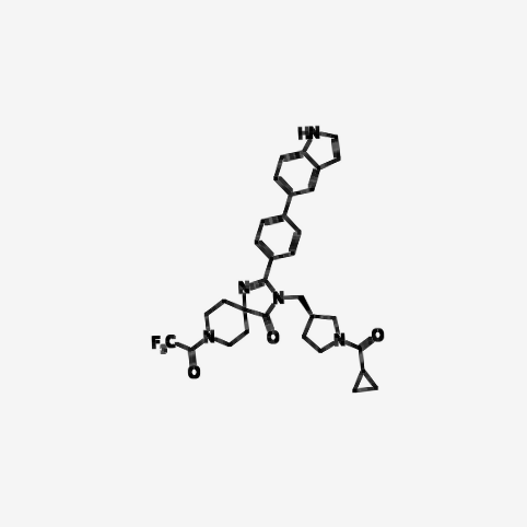 O=C(C1CC1)N1CC[C@@H](CN2C(=O)C3(CCN(C(=O)C(F)(F)F)CC3)N=C2c2ccc(-c3ccc4[nH]ccc4c3)cc2)C1